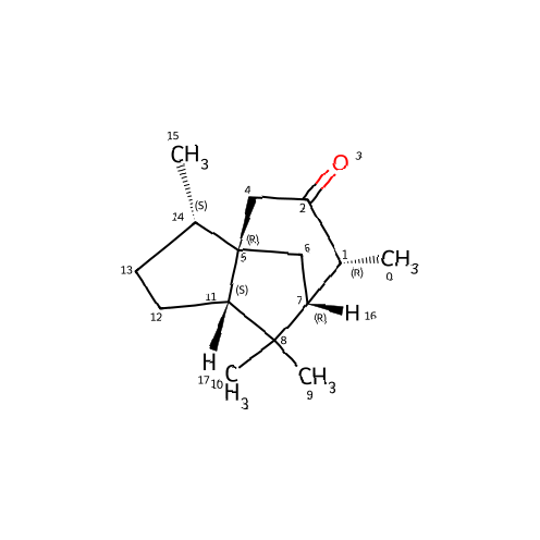 C[C@H]1C(=O)C[C@@]23C[C@H]1C(C)(C)[C@@H]2CC[C@@H]3C